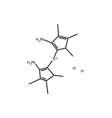 CC1=C(C)C(C)[C]([Ti+2][C]2=[C]([PbH3])C(C)=C(C)C2C)=[C]1[PbH3].[H-].[H-]